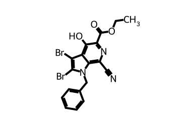 CCOC(=O)c1nc(C#N)c2c(c1O)c(Br)c(Br)n2Cc1ccccc1